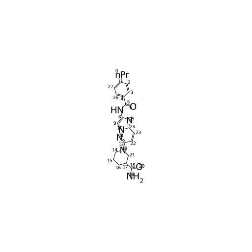 CCCc1ccc(C(=O)Nc2cn3nc(N4CCCC(C(N)=O)C4)ccc3n2)cc1